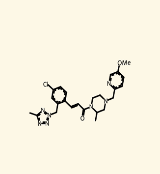 COc1ccc(CN2CCN(C(=O)/C=C/c3ccc(Cl)cc3Cn3nnc(C)n3)C(C)C2)nc1